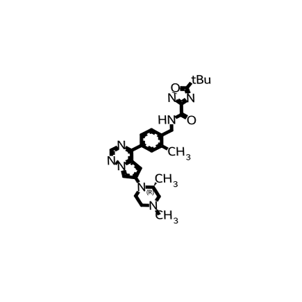 Cc1cc(-c2ncnn3cc(N4CCN(C)C[C@H]4C)cc23)ccc1CNC(=O)c1noc(C(C)(C)C)n1